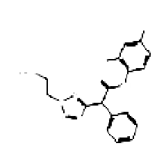 CCCCCCCCCCCCn1nnc(C(C(=O)Nc2ccc(F)cc2F)c2ccccc2)n1